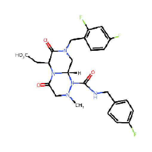 CN1CC(=O)N2[C@@H](CC(=O)O)C(=O)N(Cc3ccc(F)cc3F)C[C@@H]2N1C(=O)NCc1ccc(F)cc1